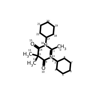 CC1=[N+](C2CCCCC2)C(=O)C(C)(C)C(=O)N1C1CCCCC1